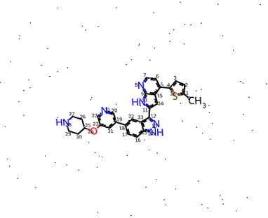 Cc1ccc(-c2ccnc3[nH]c(-c4n[nH]c5ccc(-c6cncc(OC7CCNCC7)c6)cc45)cc23)s1